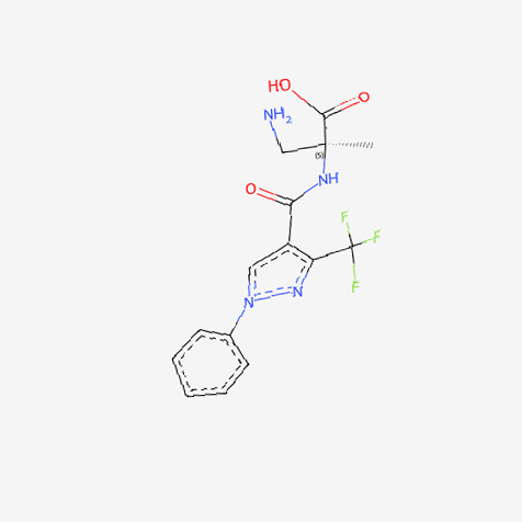 C[C@@](CN)(NC(=O)c1cn(-c2ccccc2)nc1C(F)(F)F)C(=O)O